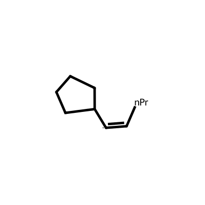 CCC/C=[C]\C1CCCC1